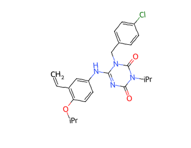 C=Cc1cc(Nc2nc(=O)n(C(C)C)c(=O)n2Cc2ccc(Cl)cc2)ccc1OC(C)C